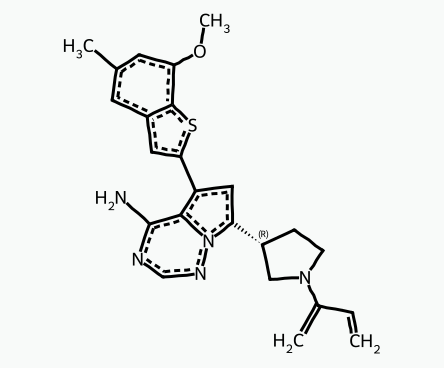 C=CC(=C)N1CC[C@@H](c2cc(-c3cc4cc(C)cc(OC)c4s3)c3c(N)ncnn23)C1